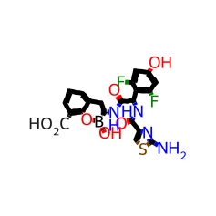 Nc1nc(C(=O)NC(C(=O)N[C@H]2Cc3cccc(C(=O)O)c3OB2O)c2c(F)cc(O)cc2F)cs1